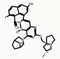 C#Cc1c(F)ccc2cc(O)cc(C3=Cc4nc(OC[C@@]56CCCN5C[C@H](F)C6)nc(N5CC6CCC(C5)N6)c4[S+]([O-])N3)c12